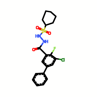 O=C(NNS(=O)(=O)C1CCCCC1)c1cc(-c2ccccc2)cc(Cl)c1F